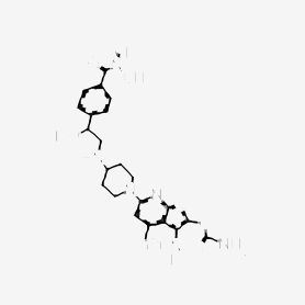 CCCc1cc(N2CCC(NCC(O)c3ccc(C(=O)N(C)C)cc3)CC2)nc2sc(OC(N)=O)c(N)c12